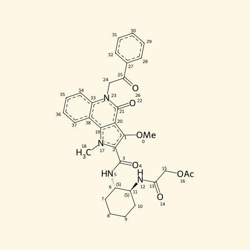 COc1c(C(=O)N[C@H]2CCCC[C@@H]2NC(=O)COC(C)=O)n(C)c2c1c(=O)n(CC(=O)c1ccccc1)c1ccccc21